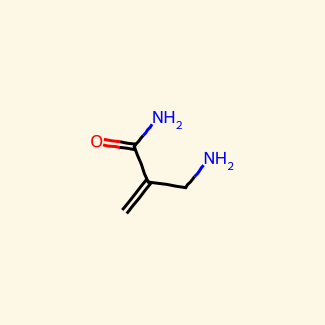 C=C(CN)C(N)=O